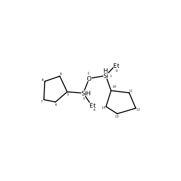 CC[SiH](O[SiH](CC)C1CCCC1)C1CCCC1